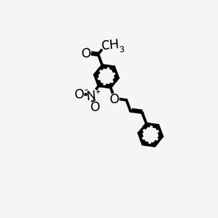 CC(=O)c1ccc(OCC=Cc2ccccc2)c([N+](=O)[O-])c1